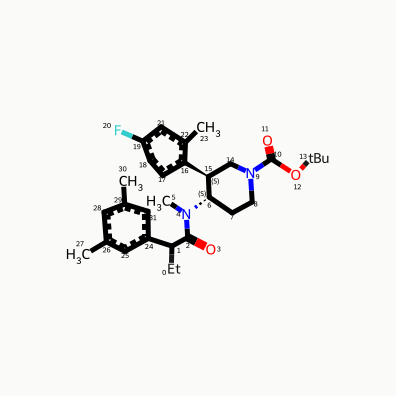 CCC(C(=O)N(C)[C@H]1CCN(C(=O)OC(C)(C)C)C[C@@H]1c1ccc(F)cc1C)c1cc(C)cc(C)c1